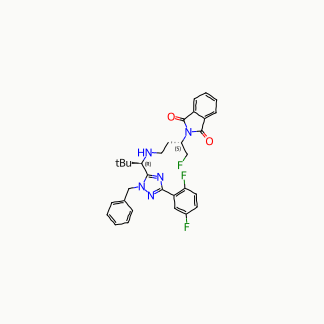 CC(C)(C)[C@@H](NCC[C@@H](CF)N1C(=O)c2ccccc2C1=O)c1nc(-c2cc(F)ccc2F)nn1Cc1ccccc1